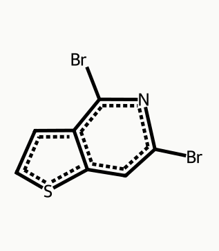 Brc1cc2sccc2c(Br)n1